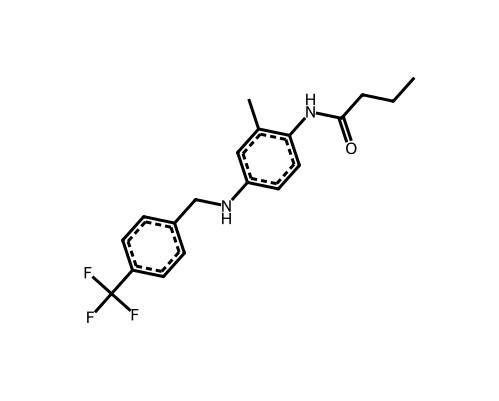 CCCC(=O)Nc1ccc(NCc2ccc(C(F)(F)F)cc2)cc1C